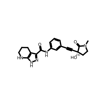 CN1CC[C@@](O)(C#Cc2cccc(NC(=O)c3n[nH]c4c3CCCN4)c2)C1=O